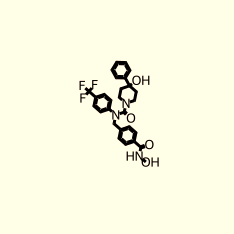 O=C(NO)c1ccc(CN(C(=O)N2CCC(O)(c3ccccc3)CC2)c2ccc(C(F)(F)F)cc2)cc1